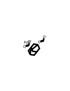 C1C2CC3CC1CC(C2)C3.O=C[O-].O=C[O-].[Pd+2]